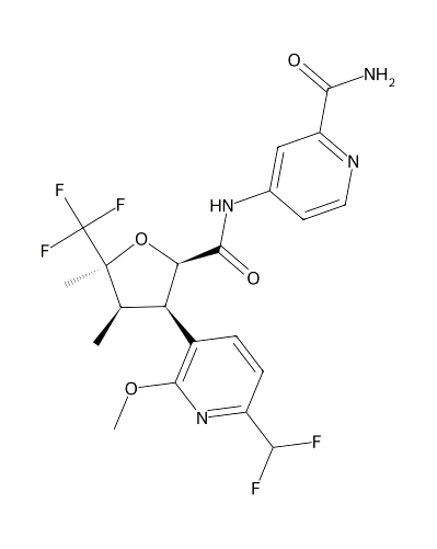 COc1nc(C(F)F)ccc1[C@H]1[C@@H](C)[C@@](C)(C(F)(F)F)O[C@H]1C(=O)Nc1ccnc(C(N)=O)c1